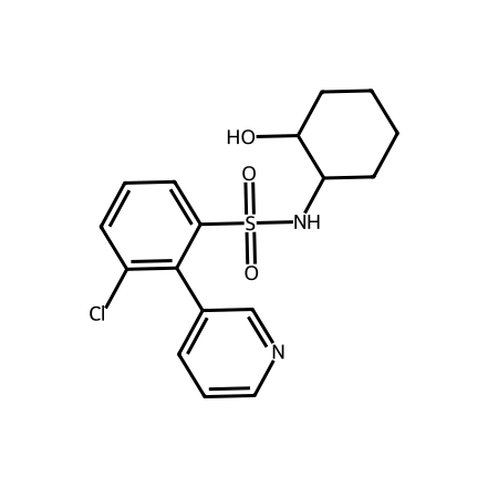 O=S(=O)(NC1CCCCC1O)c1cccc(Cl)c1-c1cccnc1